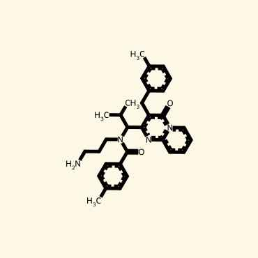 Cc1ccc(C(=O)N(CCCN)C(c2nc3ccccn3c(=O)c2Cc2cccc(C)c2)C(C)C)cc1